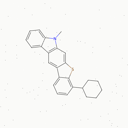 Cn1c2ccccc2c2cc3c(cc21)sc1c(C2CCCCC2)cccc13